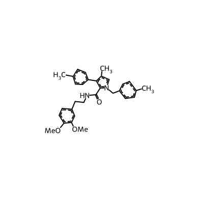 COc1ccc(CCNC(=O)c2c(-c3ccc(C)cc3)c(C)cn2Cc2ccc(C)cc2)cc1OC